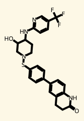 O=C1CCc2cc(-c3ccc(SN4CCC(Nc5ccc(C(F)(F)F)cn5)C(O)C4)cc3)ccc2N1